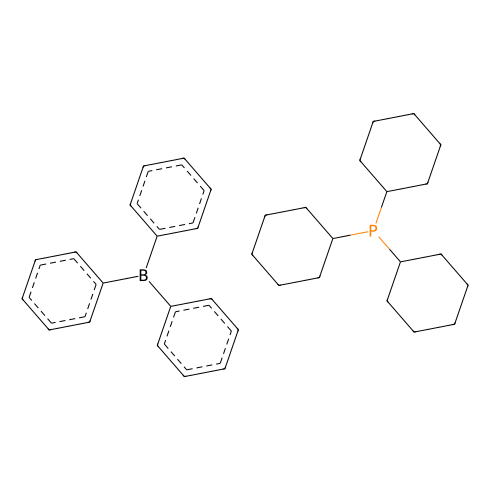 C1CCC(P(C2CCCCC2)C2CCCCC2)CC1.c1ccc(B(c2ccccc2)c2ccccc2)cc1